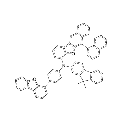 CC1(C)c2ccccc2-c2ccc(N(c3ccc(-c4cccc5c4oc4ccccc45)cc3)c3cccc4c3oc3c(-c5cccc6ccccc56)c5ccccc5cc34)cc21